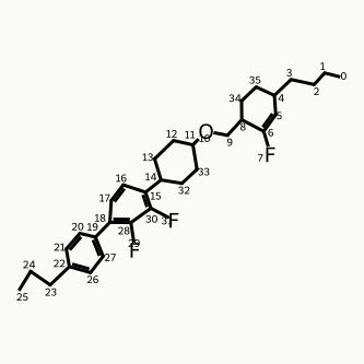 CCCCC1C=C(F)C(COC2CCC(c3ccc(-c4ccc(CCC)cc4)c(F)c3F)CC2)CC1